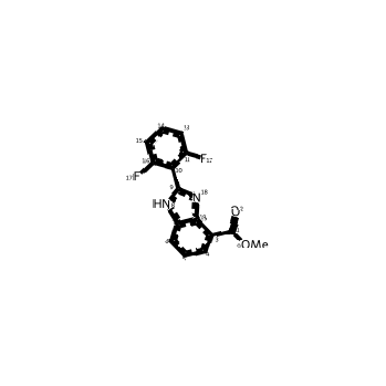 COC(=O)c1cccc2[nH]c(-c3c(F)cccc3F)nc12